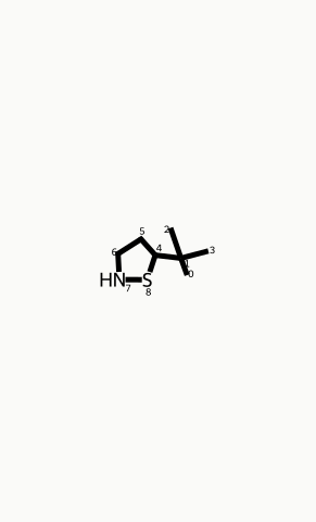 CC(C)(C)C1CCNS1